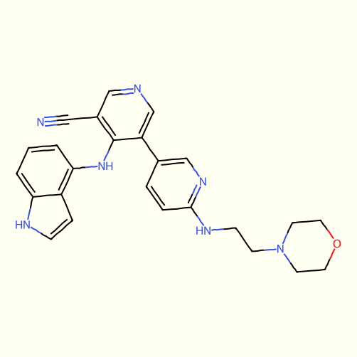 N#Cc1cncc(-c2ccc(NCCN3CCOCC3)nc2)c1Nc1cccc2[nH]ccc12